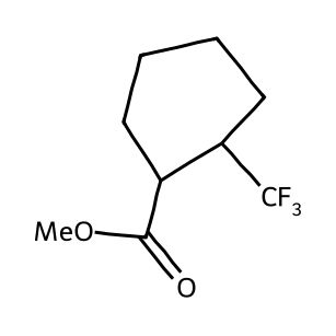 COC(=O)C1CCCCC1C(F)(F)F